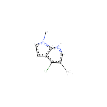 Cn1ccc2c(Cl)c([N+](=O)[O-])cnc21